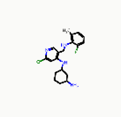 Cc1cccc(F)c1NCc1cnc(Cl)cc1NC1CCCC(N)C1